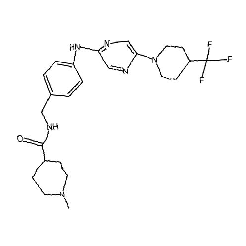 CN1CCC(C(=O)NCc2ccc(Nc3cnc(N4CCC(C(F)(F)F)CC4)cn3)cc2)CC1